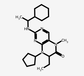 CCC1C(=O)N(C)c2cnc(NC(C)C3CCCCC3)nc2N1C1CCCC1